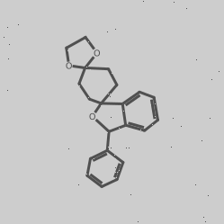 c1ccc(C2OC3(CCC4(CC3)OCCO4)c3ccccc32)cc1